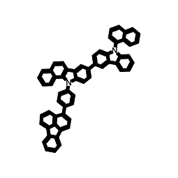 c1ccc2c(c1)-c1cccc3c(-c4ccc(-n5c6ccc(-c7ccc8c(c7)c7ccccc7n8-c7cccc8ccccc78)cc6c6ccc7ccccc7c65)cc4)ccc-2c13